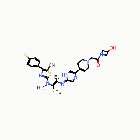 CCC(/N=c1/cnc(C2=CCN(CC(=O)N3CC(O)C3)CC2)c[nH]1)=C(/C)N(C)c1nc(-c2ccc(F)cc2)c(C#N)s1